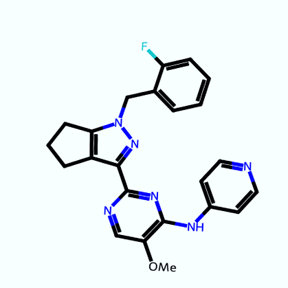 COc1cnc(-c2nn(Cc3ccccc3F)c3c2CCC3)nc1Nc1ccncc1